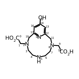 O=C(O)CN1CCNCCN(CC(=O)O)Cc2cc(O)cc(n2)C1